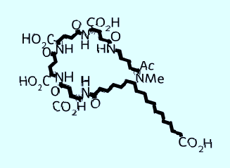 CN[C@@H](CCCCNC(=O)CC[C@H](NC(=O)CC[C@H](NC(=O)CC[C@H](NC(=O)CC[C@H](NC(=O)CCCCCCCCCCCCCCCCC(=O)O)C(=O)O)C(=O)O)C(=O)O)C(=O)O)C(C)=O